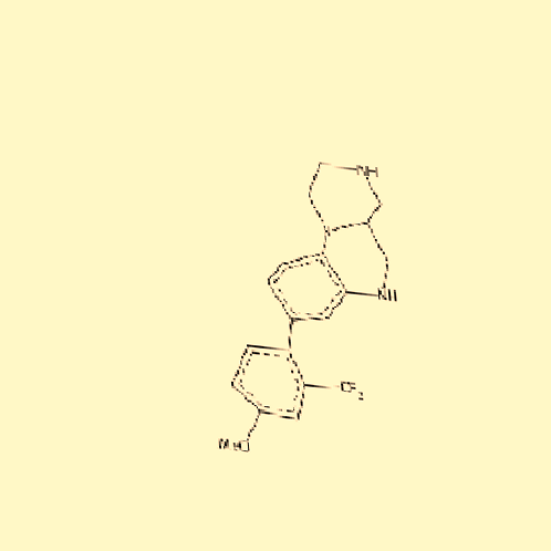 COc1ccc(-c2ccc3c(c2)NCC2CNCCN32)c(C(F)(F)F)c1